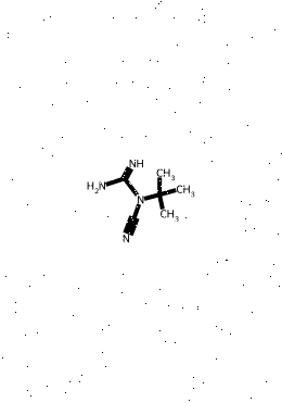 CC(C)(C)N(C#N)C(=N)N